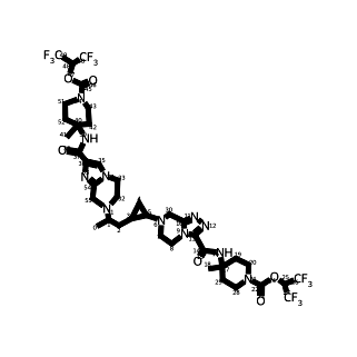 CC(CC1CC1N1CCn2c(nnc2C(=O)NC2(C)CCN(C(=O)OC(C(F)(F)F)C(F)(F)F)CC2)C1)N1CCn2cc(C(=O)NC3(C)CCN(C(=O)OC(C(F)(F)F)C(F)(F)F)CC3)nc2C1